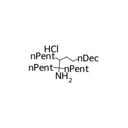 CCCCCCCCCCCCC(CCCCC)C(N)(CCCCC)CCCCC.Cl